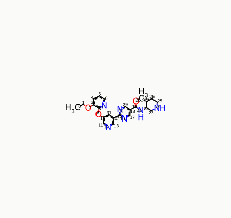 CCOc1cccnc1Oc1cncc(-c2ncc(C(=O)N[C@H]3CNCC[C@@H]3C)cn2)c1